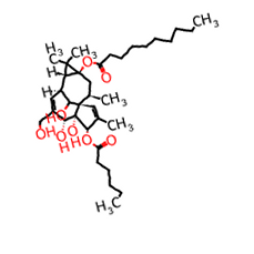 CCCCCCCCCC(=O)O[C@@]12C[C@@H](C)[C@]34C=C(C)[C@H](OC(=O)CCCCC)[C@@]3(O)[C@H](O)C(CO)=C[C@H](C4O)[C@@H]1C2(C)C